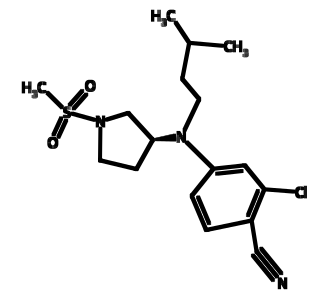 CC(C)CCN(c1ccc(C#N)c(Cl)c1)[C@H]1CCN(S(C)(=O)=O)C1